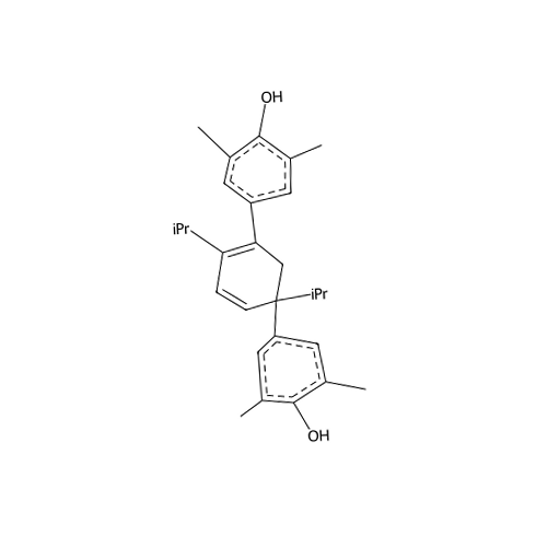 Cc1cc(C2=C(C(C)C)C=CC(c3cc(C)c(O)c(C)c3)(C(C)C)C2)cc(C)c1O